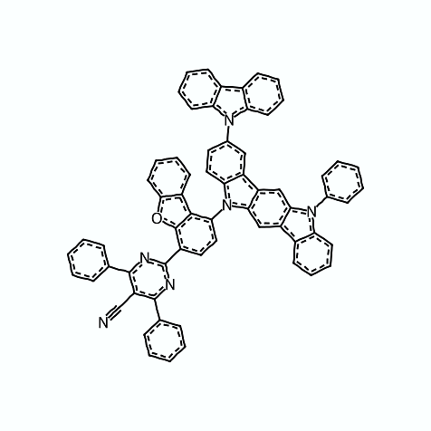 N#Cc1c(-c2ccccc2)nc(-c2ccc(-n3c4ccc(-n5c6ccccc6c6ccccc65)cc4c4cc5c(cc43)c3ccccc3n5-c3ccccc3)c3c2oc2ccccc23)nc1-c1ccccc1